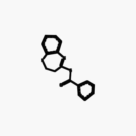 O=C(SC1=Nc2ccccc2SCC1)c1ccccc1